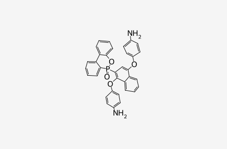 Nc1ccc(Oc2cc(P3(=O)Oc4ccccc4-c4ccccc43)c(Oc3ccc(N)cc3)c3ccccc23)cc1